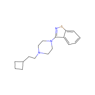 c1ccc2c(N3CCN(CCC4CCC4)CC3)nsc2c1